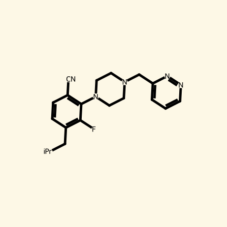 CC(C)Cc1ccc(C#N)c(N2CCN(Cc3cccnn3)CC2)c1F